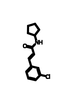 O=C(C=Cc1cccc(Cl)c1)NC1CCCC1